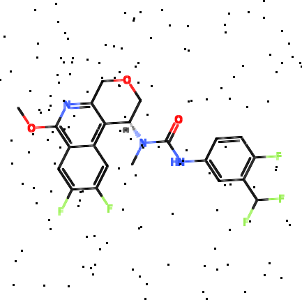 COc1nc2c(c3cc(F)c(F)cc13)[C@@H](N(C)C(=O)Nc1ccc(F)c(C(F)F)c1)COC2